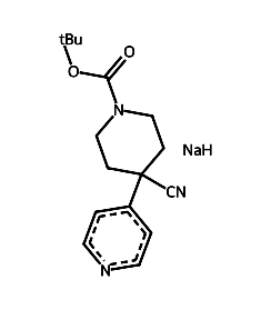 CC(C)(C)OC(=O)N1CCC(C#N)(c2ccncc2)CC1.[NaH]